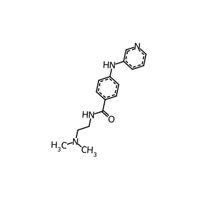 CN(C)CCNC(=O)c1ccc(Nc2cccnc2)cc1